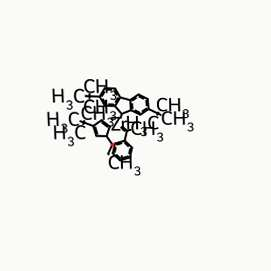 CCCC1C=C(C(C)(C)C)C=[C]1[Zr](=[C](C)c1ccccc1)[CH]1c2cc(C(C)(C)C)ccc2-c2ccc(C(C)(C)C)cc21